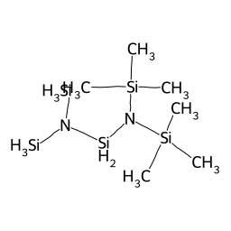 C[Si](C)(C)N([SiH2]N([SiH3])[SiH3])[Si](C)(C)C